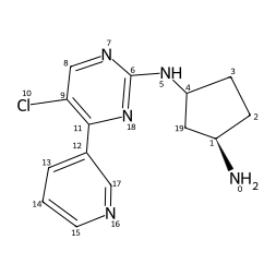 N[C@@H]1CCC(Nc2ncc(Cl)c(-c3cccnc3)n2)C1